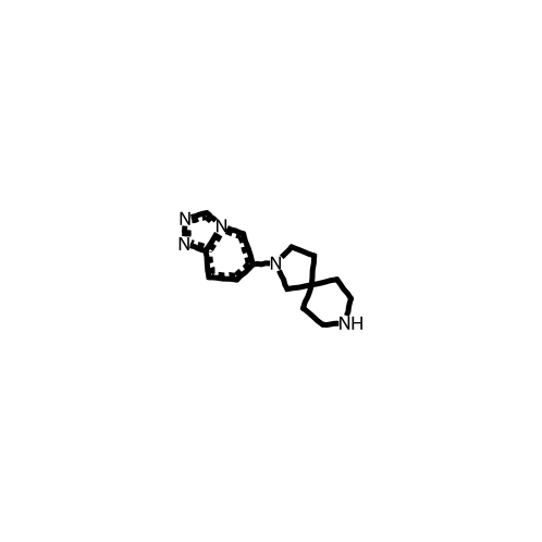 c1cc2nncn2cc1N1CCC2(CCNCC2)C1